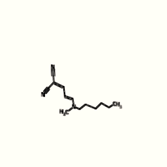 CCCCCCN(C)C=CC=C(C#N)C#N